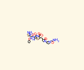 NC(=O)C[n+]1cccc(N2CCC(=CC3=C(C(=O)[O-])N4C(=O)[C@@H](NC(=O)C(=NOC5CCCC5)c5csc(N)n5)[C@H]4SC3)C2=O)c1